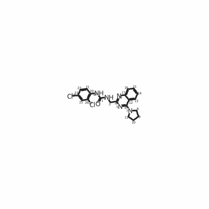 O=C(NCc1nc(N2CCCC2)c2ccccc2n1)Nc1ccc(Cl)cc1Cl